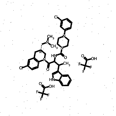 CC(c1c[nH]c2ccccc12)C(NC(=O)N1CCN(c2cccc(Cl)c2)CC1)C(=O)N1C[C@@H](CN(C)C)Cc2cc(Cl)ccc21.O=C(O)C(F)(F)F.O=C(O)C(F)(F)F